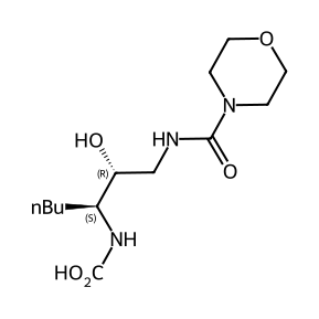 CCCC[C@H](NC(=O)O)[C@H](O)CNC(=O)N1CCOCC1